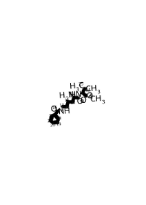 COC(=O)[C@H](NC(=O)[C@@H](N)CCCCNC(=O)c1ccccc1)C(C)C